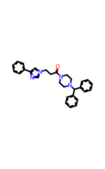 O=C(CCn1cnc(-c2ccccc2)c1)N1CCN(C(c2ccccc2)c2ccccc2)CC1